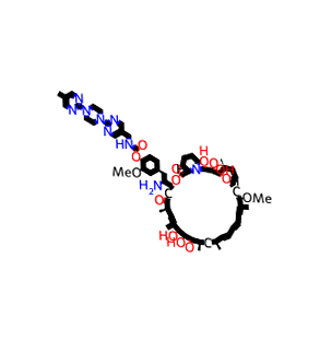 CO[C@H]1C[C@@H]2CC[C@@H](C)[C@@](O)(O2)C(=O)C(O)N2CCCC[C@H]2C(=O)O[C@H]([C@H](N)C[C@@H]2CC[C@@H](OC(=O)NCc3cnc(N4CCN(c5ncc(C)cn5)CC4)nc3)[C@H](OC)C2)CC(=O)[C@H](C)/C=C(\C)[C@@H](O)[C@@H](O)C(=O)[C@H](C)C[C@H](C)/C=C/C=C/C=C/1C